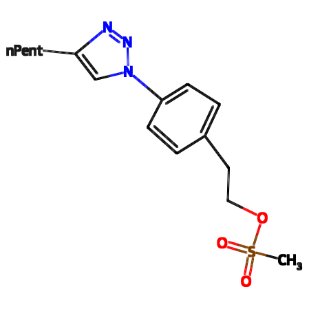 CCCCCc1cn(-c2ccc(CCOS(C)(=O)=O)cc2)nn1